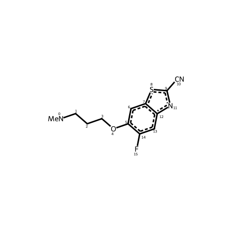 CNCCCOc1cc2sc(C#N)nc2cc1F